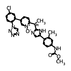 COC(=O)Nc1ccc(-c2cnc([C@H](C)c3ccc(-c4cc(Cl)ccc4-n4cnnn4)c[n+]3[O-])[nH]2)c(C)c1